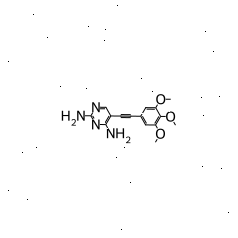 COc1cc(C#Cc2cnc(N)nc2N)cc(OC)c1OC